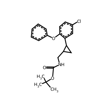 CC(C)(C)OC(=O)NCC1CC1c1cc(Cl)ccc1Oc1ccccc1